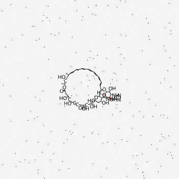 C[C@H]1C[C@H](O)[C@@H](C)/C=C/C=C/C=C/C=C/C=C/C=C/C=C/C(O[C@@H]2OC[C@@H](O)[C@H](N)[C@@H]2O)C[C@@H]2OC(O)(C[C@@H](O)C[C@@H](O)[C@H](O)CCC(O)CC(O)CC(=O)O1)C[C@H](O)C2C(=O)NCCn1cncn1